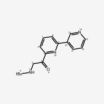 CC(C)(C)NCC(=O)c1cccc(-c2cccnc2)n1